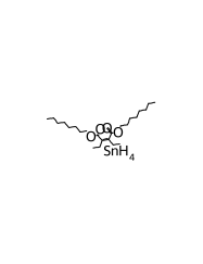 CCCCCCCCOC(=O)/C(CC)=C(/CC)C(=O)OCCCCCCCC.[SnH4]